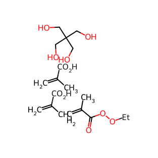 C=C(C)C(=O)O.C=C(C)C(=O)O.C=C(C)C(=O)OOCC.OCC(CO)(CO)CO